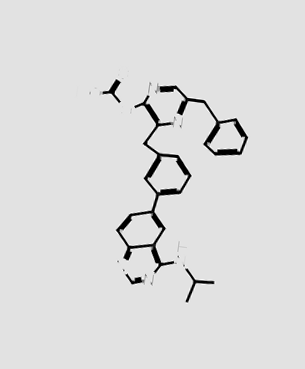 CC(C)Nc1ncnc2ccc(-c3cccc(Cc4nc(Cc5ccccc5)cnc4OC(=O)O)c3)cc12